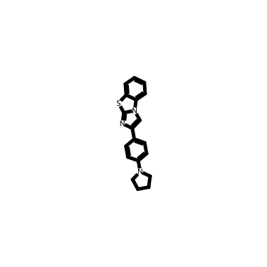 c1ccc2c(c1)sc1nc(-c3ccc(N4CCCC4)cc3)cn12